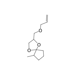 C=CCOCC1COC2(CCCC2C)O1